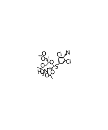 CC(=O)OCC(OC(Sc1cc(Cl)c(C#N)c(Cl)c1)[C@H](CN)OC(C)=O)[C@@H](C)OC(C)=O